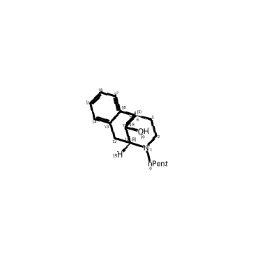 CCCCCN1CC[C@]23CCCCC2(O)[C@H]1Cc1ccccc13